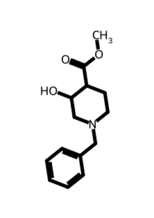 COC(=O)C1CCN(Cc2ccccc2)CC1O